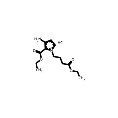 CCOC(=O)CCCn1ccc(N)c1C(=O)OCC.Cl